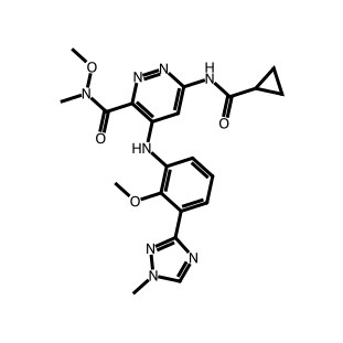 COc1c(Nc2cc(NC(=O)C3CC3)nnc2C(=O)N(C)OC)cccc1-c1ncn(C)n1